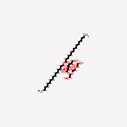 CCCCCCCCCCCCCCCCOCCCCCCCCCCCCCCCC.O=C(O)C(O)(OO)C(O)(O)C(O)C(O)CO.OCCOCCOCCO